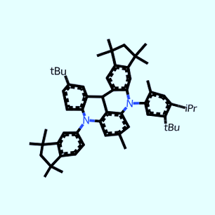 Cc1cc2c3c(c1)N(c1cc(C(C)(C)C)c(C(C)C)cc1C)c1cc4c(cc1C3c1cc(C(C)(C)C)ccc1N2c1ccc2c(c1)C(C)(C)CC2(C)C)C(C)(C)CC4(C)C